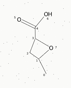 CC1CC(C(=O)O)O1